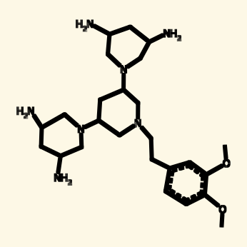 COc1ccc(CCN2CC(N3CC(N)CC(N)C3)CC(N3CC(N)CC(N)C3)C2)cc1OC